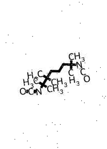 CC(C)(CCCC(C)(C)C(C)(C)N=C=O)N=C=O